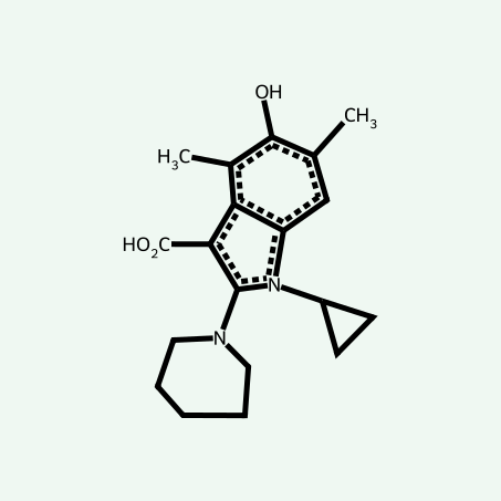 Cc1cc2c(c(C)c1O)c(C(=O)O)c(N1CCCCC1)n2C1CC1